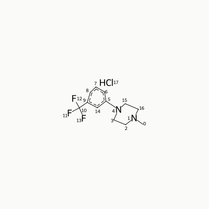 CN1CCN(c2cccc(C(F)(F)F)c2)CC1.Cl